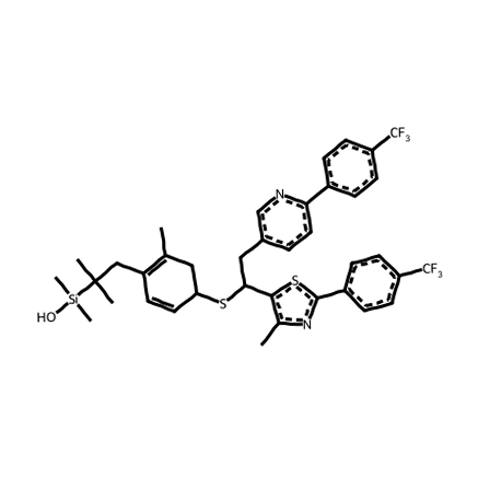 CC1=C(CC(C)(C)[Si](C)(C)O)C=CC(SC(Cc2ccc(-c3ccc(C(F)(F)F)cc3)nc2)c2sc(-c3ccc(C(F)(F)F)cc3)nc2C)C1